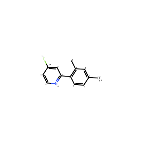 Cc1cc(C(F)(F)F)ccc1-c1cc(F)ccn1